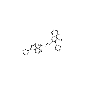 O=c1c2c(F)cccc2cc(CCCNc2ncnc3c2ncn3C2CCCCO2)n1-c1ccccc1